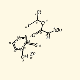 CCCCNC(=O)OC(I)CC.On1ccccc1=S.[Zn]